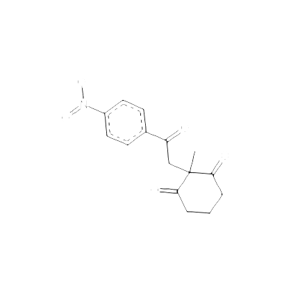 CC1(CC(=O)c2ccc([N+](=O)[O-])cc2)C(=O)CCCC1=O